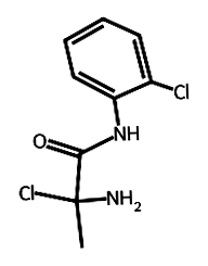 CC(N)(Cl)C(=O)Nc1ccccc1Cl